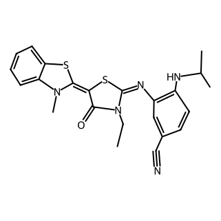 CCN1C(=O)/C(=C2/Sc3ccccc3N2C)S/C1=N/c1cc(C#N)ccc1NC(C)C